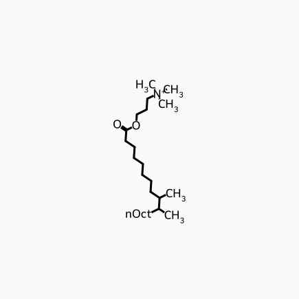 CCCCCCCCC(C)C(C)CCCCCCCC(=O)OCCC[N+](C)(C)C